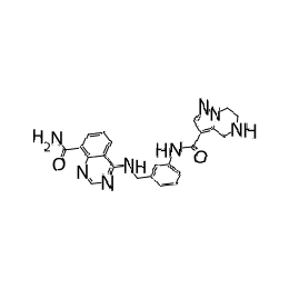 NC(=O)c1cccc2c(NCc3cccc(NC(=O)c4cnn5c4CNCC5)c3)ncnc12